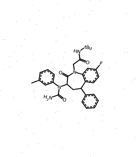 Cc1cccc(N(C(N)=O)C2CC(c3ccccc3)c3ccc(F)cc3N(CC(=O)NC(C)(C)C)C2=O)c1